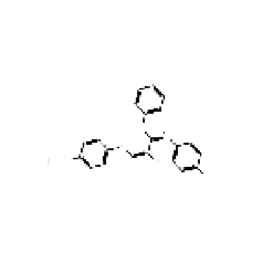 CC(=CSc1ccc(C)cc1)C(=Nc1ccc(C)cc1)Sc1ccccc1